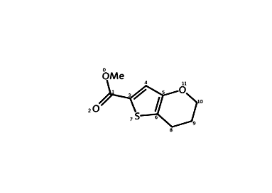 COC(=O)c1cc2c(s1)CCCO2